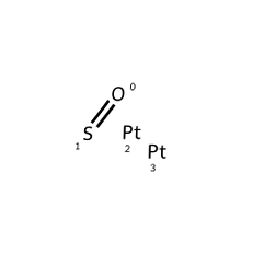 O=S.[Pt].[Pt]